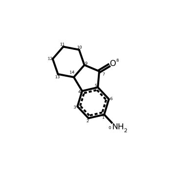 Nc1ccc2c(c1)C(=O)C1CCCCC21